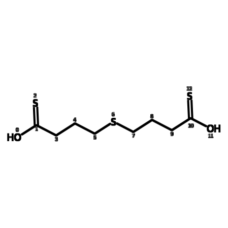 OC(=S)CCCSCCCC(O)=S